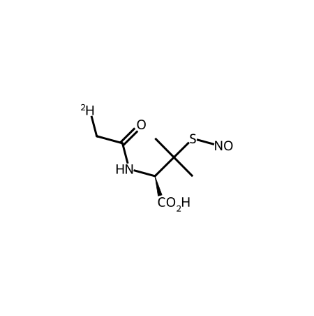 [2H]CC(=O)N[C@H](C(=O)O)C(C)(C)SN=O